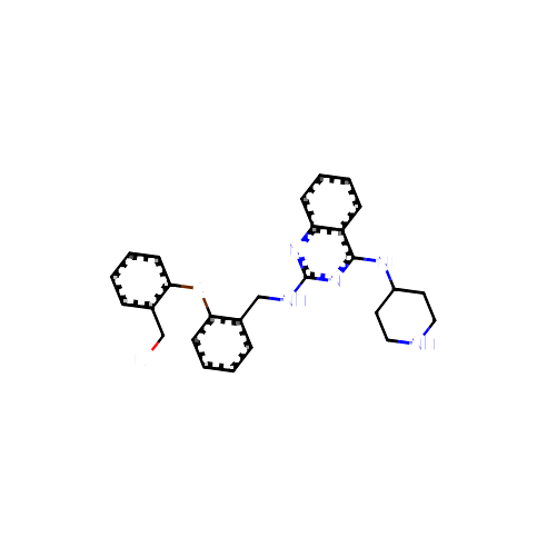 OCc1ccccc1Sc1ccccc1CNc1nc(NC2CCNCC2)c2ccccc2n1